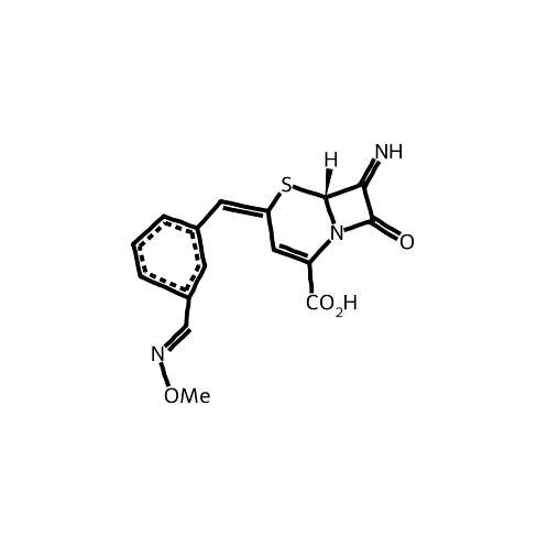 CO/N=C/c1cccc(/C=C2\C=C(C(=O)O)N3C(=O)C(=N)[C@H]3S2)c1